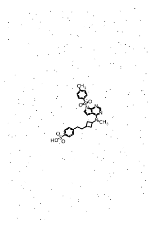 Cc1ccc(S(=O)(=O)n2ccc3c(N(C)C4CC(CCc5ccc(S(=O)(=O)O)cc5)C4)ncnc32)cc1